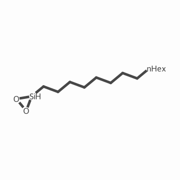 CCCCCCCCCCCCCC[SiH]1OO1